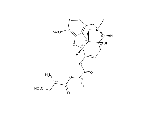 COc1ccc2c3c1O[C@H]1C(OC(=O)[C@H](C)OC(=O)[C@@H](N)CC(=O)O)=CC[C@@]4(O)[C@@H](C2)N(C)CC[C@]314